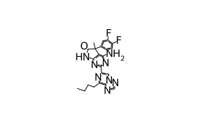 CCCCc1nc(-c2nc(N)c3c(n2)NC(=O)C3(C)c2ccc(F)c(F)c2)cn2ncnc12